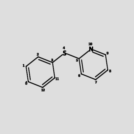 [c]1ccc(Sc2ccccn2)cc1